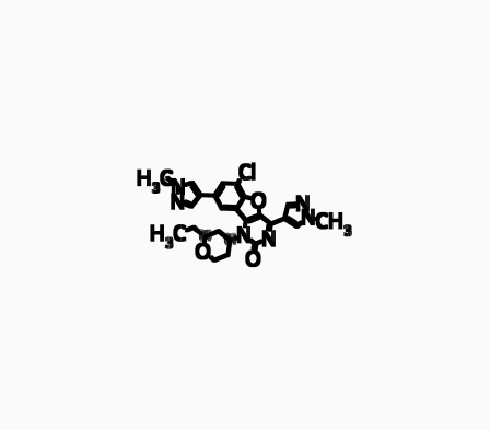 CC[C@H]1C[C@@H](n2c(=O)nc(-c3cnn(C)c3)c3oc4c(Cl)cc(-c5cnn(C)c5)cc4c32)CCO1